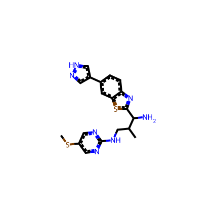 CSc1cnc(NCC(C)C(N)c2nc3ccc(-c4cn[nH]c4)cc3s2)nc1